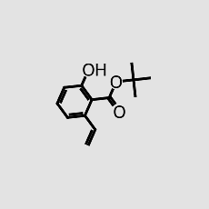 C=Cc1cccc(O)c1C(=O)OC(C)(C)C